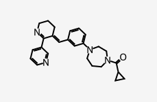 O=C(C1CC1)N1CCCN(c2cccc(C=C3CCCN=C3c3cccnc3)c2)CC1